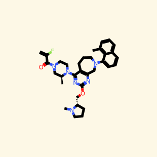 C=C(F)C(=O)N1CCN(c2nc(OC[C@@H]3CCCN3C)nc3c2CCCN(c2cccc4cccc(C)c24)C3)[C@@H](C)C1